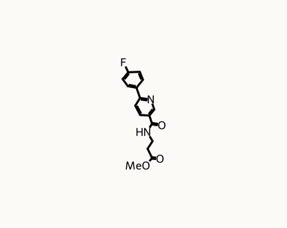 COC(=O)CCNC(=O)c1ccc(-c2ccc(F)cc2)nc1